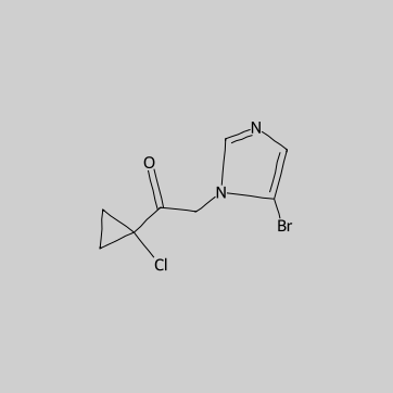 O=C(Cn1cncc1Br)C1(Cl)CC1